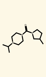 CC1CCN(C(=O)N2CCN(C(C)C)CC2)C1